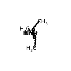 CCCCCCCCc1ccc(C2=CC(CCCCC)=C(c3ccc(CCCCCCCC)cc3)[N+]2=[N-])cc1.[H-].[H-].[Ni]